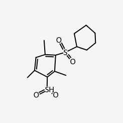 Cc1cc(C)c(S(=O)(=O)C2CCCCC2)c(C)c1[SH](=O)=O